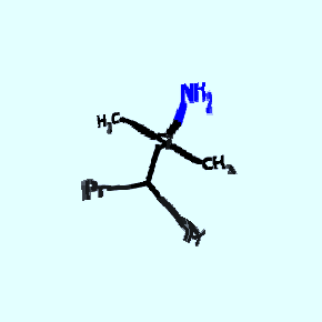 CC(C)C(C(C)C)[Si](C)(C)N